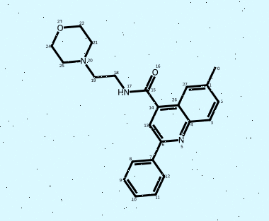 Cc1ccc2nc(-c3ccccc3)cc(C(=O)NCCN3CCOCC3)c2c1